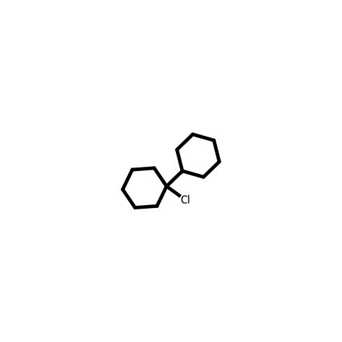 ClC1([C]2CCCCC2)CCCCC1